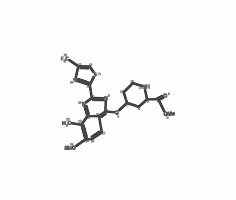 COC(=O)C1CC(Oc2nc(-c3nc(C(F)(F)F)cs3)nc3c(C)c(OC)ccc23)CCN1